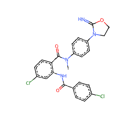 CN(C(=O)c1ccc(Cl)cc1NC(=O)c1ccc(Cl)cc1)c1ccc(N2CCOC2=N)cc1